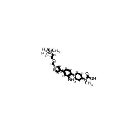 CN(C(=O)O)C1CCN(c2ccc(-c3cnn(COCC[Si](C)(C)C)c3)cc2N)CC1